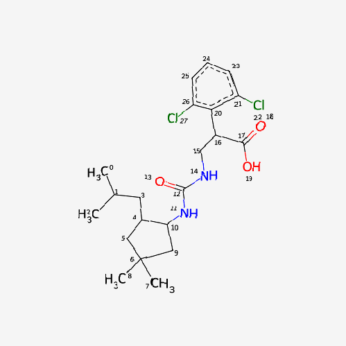 CC(C)CC1CC(C)(C)CC1NC(=O)NCC(C(=O)O)c1c(Cl)cccc1Cl